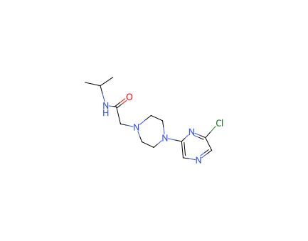 CC(C)NC(=O)CN1CCN(c2cncc(Cl)n2)CC1